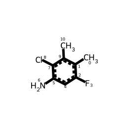 Cc1c(F)cc(N)c(Cl)c1C